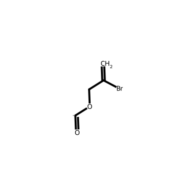 C=C(Br)CO[C]=O